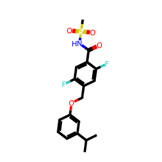 CC(C)c1cccc(OCc2cc(F)c(C(=O)NS(C)(=O)=O)cc2F)c1